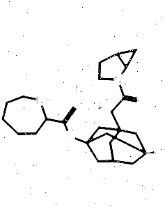 N#C[C@@H]1CC2CC2N1C(=O)[C@@H](N)C12CC3C[C@H](CC(OC(=O)C4CCCCCN4)(C3)C1)C2